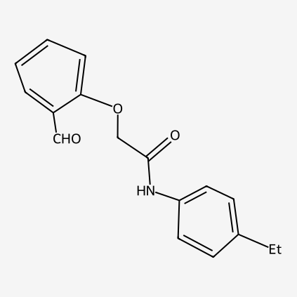 CCc1ccc(NC(=O)COc2ccccc2C=O)cc1